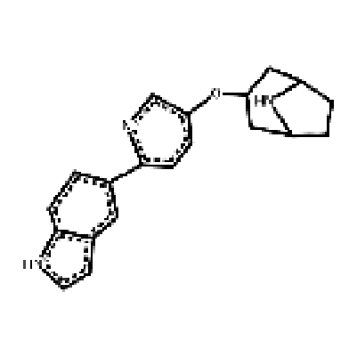 c1cc2cc(-c3ccc(OC4CC5CCC(C4)N5)cn3)ccc2[nH]1